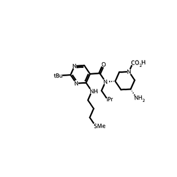 CSCCCNc1nc(C(C)(C)C)ncc1C(=O)N(CC(C)C)[C@H]1C[C@@H](N)CN(C(=O)O)C1